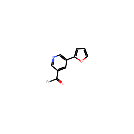 CC(C)C(=O)c1cncc(-c2ccco2)c1